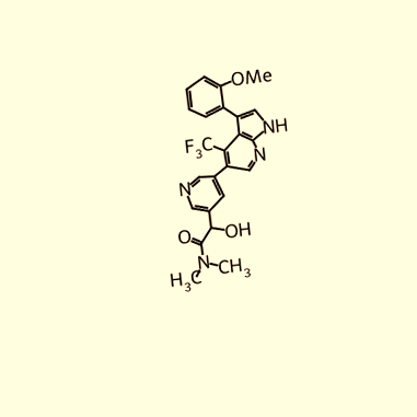 COc1ccccc1-c1c[nH]c2ncc(-c3cncc(C(O)C(=O)N(C)C)c3)c(C(F)(F)F)c12